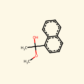 COC(C)(O)c1cccc2ccccc12